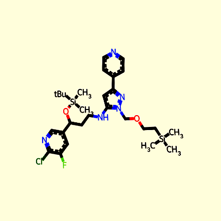 CC(C)(C)[Si](C)(C)OC(CCNc1cc(-c2ccncc2)nn1COCC[Si](C)(C)C)c1cnc(Cl)c(F)c1